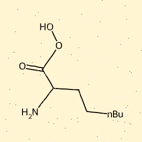 CCCCCCC(N)C(=O)OO